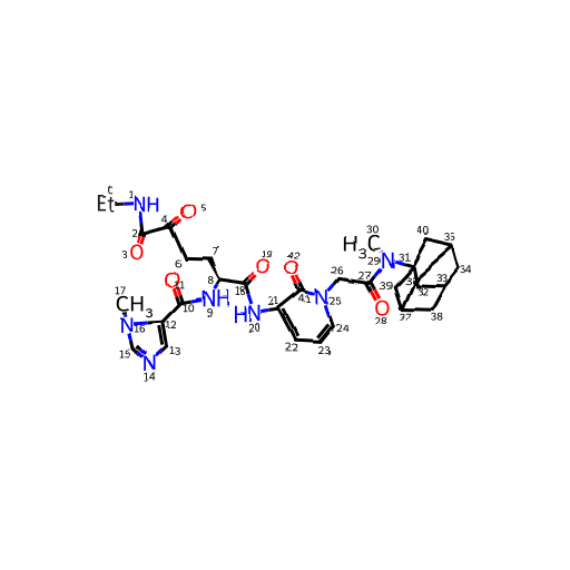 CCNC(=O)C(=O)CC[C@H](NC(=O)c1cncn1C)C(=O)Nc1cccn(CC(=O)N(C)C23CC4CC(CC(C4)C2)C3)c1=O